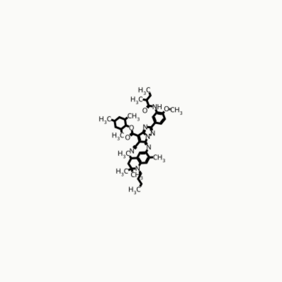 CCCCN1c2cc(C)c(/N=C3\C(C#N)=C(C(=O)OC4C(C)CC(C)CC4C)c4nc(-c5ccc(OC)c(NC(=O)C(C)CC)c5)nn43)cc2C(C)CC1(C)C